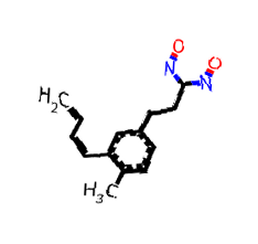 C=C/C=C\c1cc(CCC(N=O)N=O)ccc1C